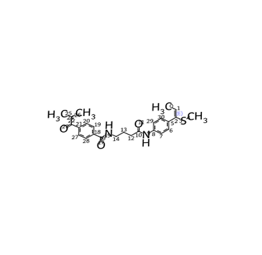 C/C=C(/SC)c1ccc(NC(=O)CCCNC(=O)c2ccc(C(=O)C(C)C)cc2)cc1